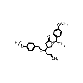 C=CC[C@@H](OCc1ccc(OC)cc1)C1CC(=O)N([C@H](C)c2ccc(OC)cc2)C1